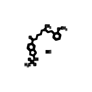 COc1ccccc1CCN(C)CCCCC(=O)c1ccc2c(c1)CC(NS(C)(=O)=O)C2.Cl